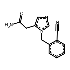 N#Cc1ccccc1Cn1cncc1CC(N)=O